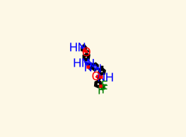 C1CCNC1.COc1ccc(Nc2ncc3c(n2)CCN(c2cc(NC(=O)c4cccc(C(F)(F)F)c4)ccc2C)C3)cc1